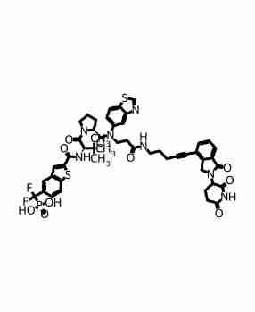 CC(C)(C)[C@H](NC(=O)c1cc2cc(C(F)(F)P(=O)(O)O)ccc2s1)C(=O)N1CCC[C@H]1C(=O)N(CCC(=O)NCCCC#Cc1cccc2c1CN(C1CCC(=O)NC1=O)C2=O)c1ccc2scnc2c1